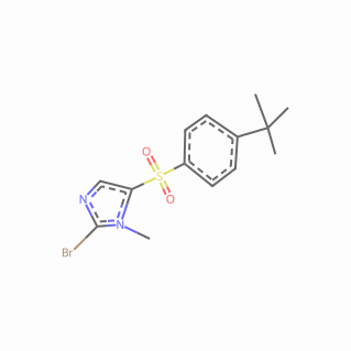 Cn1c(S(=O)(=O)c2ccc(C(C)(C)C)cc2)cnc1Br